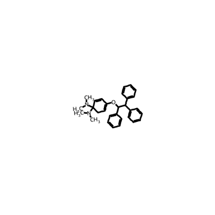 CN(C)C1(N(C)C)C=CC(OC(c2ccccc2)C(c2ccccc2)c2ccccc2)=CC1